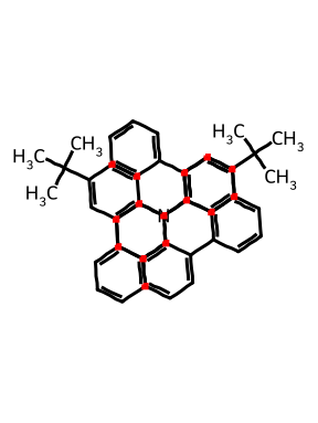 CC(C)(C)c1ccc(N(c2ccc(C(C)(C)C)cc2-c2ccccc2)c2ccccc2-c2cccc3cccc(C4CCCCC4)c23)c(-c2ccccc2)c1